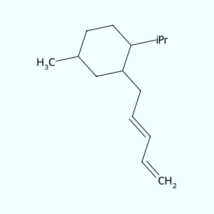 C=CC=CCC1CC(C)CCC1C(C)C